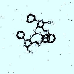 Cc1nn(-c2ccccc2)c(OC2Oc3ccccc3/N=C/c3c(C)nn(-c4ccccc4)c3O2)c1/C=N/c1ccccc1OO